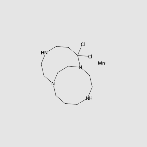 ClC1(Cl)CCNCCN2CCCNCCN1CC2.[Mn]